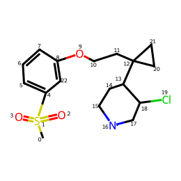 CS(=O)(=O)c1cccc(OCCC2(C3CC[N]CC3Cl)CC2)c1